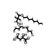 CCCCCCCCOC(C)C(C)(C)CO.CCC[CH2][Sn+2][CH2]CCC.O=C([O-])CC(O)C(=O)[O-]